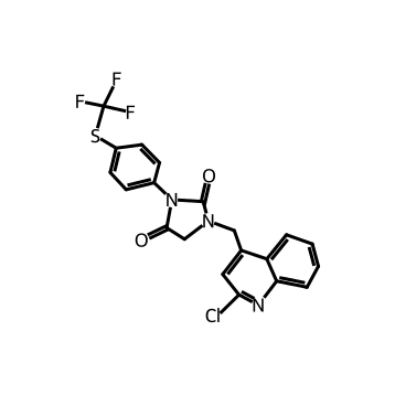 O=C1CN(Cc2cc(Cl)nc3ccccc23)C(=O)N1c1ccc(SC(F)(F)F)cc1